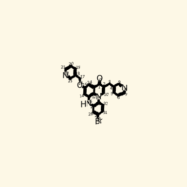 O=c1c(Cc2cccnc2)cn2c3c(cc(OCc4cccnc4)cc13)Nc1cc(Br)ccc1-2